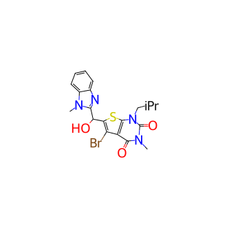 CC(C)Cn1c(=O)n(C)c(=O)c2c(Br)c(C(O)c3nc4ccccc4n3C)sc21